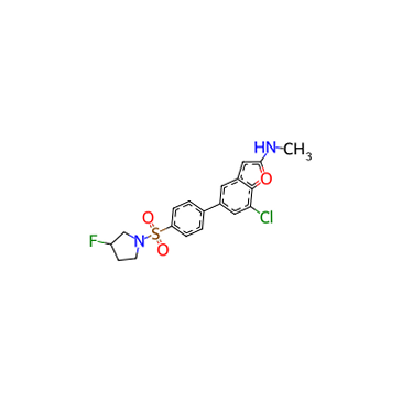 CNc1cc2cc(-c3ccc(S(=O)(=O)N4CCC(F)C4)cc3)cc(Cl)c2o1